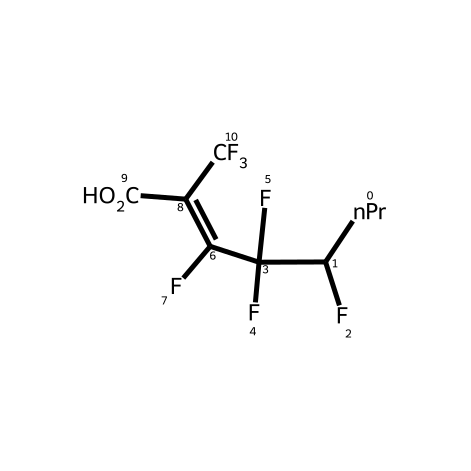 CCCC(F)C(F)(F)C(F)=C(C(=O)O)C(F)(F)F